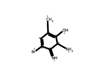 CC1=C(O)C(N)C(=N)C(Br)=C1